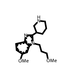 COCCCn1c(C2CCCNC2)nc2ccc(OC)cc21